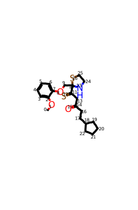 COc1ccccc1OCC1(C(=S)CC(=O)CCC2CCCC2)NCCS1